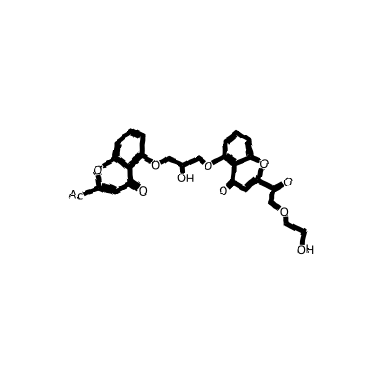 CC(=O)c1cc(=O)c2c(OCC(O)COc3cccc4oc(C(=O)COCCO)cc(=O)c34)cccc2o1